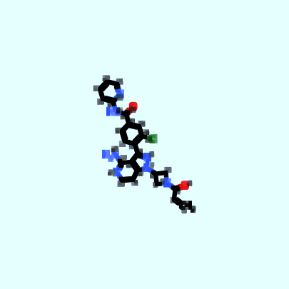 C=CC(=O)N1CC(n2nc(-c3ccc(C(=O)Nc4ccccn4)cc3Cl)c3c(N)nccc32)C1